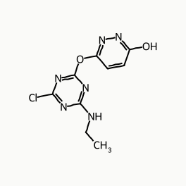 CCNc1nc(Cl)nc(Oc2ccc(O)nn2)n1